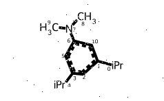 CC(C)c1cc(C(C)C)cc(N(C)C)c1